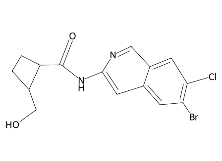 O=C(Nc1cc2cc(Br)c(Cl)cc2cn1)C1CCC1CO